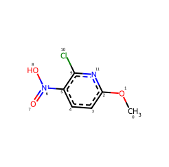 COc1ccc([N+](=O)O)c(Cl)n1